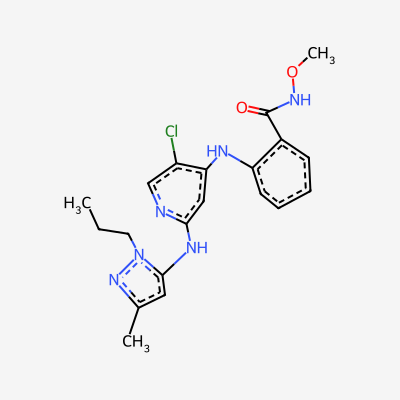 CCCn1nc(C)cc1Nc1cc(Nc2ccccc2C(=O)NOC)c(Cl)cn1